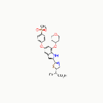 CCC(C(=O)O)C1CN=C(c2cc3cc(Oc4ccc(S(C)(=O)=O)cc4)cc(OC4CCOCC4)c3[nH]2)S1